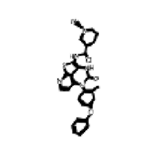 Cc1cc(Oc2ccccc2)ccc1N1C(=O)Nc2c(NC(=O)C3CCCN(C#N)C3)sc3nccc1c23